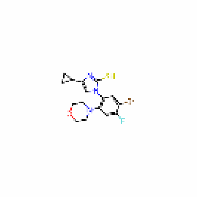 Fc1cc(N2CCOCC2)c(-n2cc(C3CC3)nc2S)cc1Br